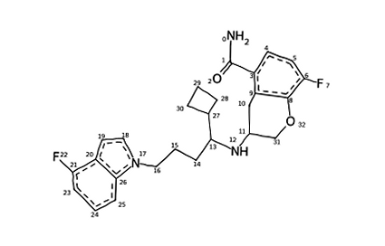 NC(=O)c1ccc(F)c2c1CC(NC(CCCn1ccc3c(F)cccc31)C1CCC1)CO2